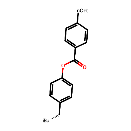 CCCCCCCCc1ccc(C(=O)Oc2ccc(C[C@@H](C)CC)cc2)cc1